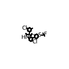 C=C(Nc1ccc(Cl)c(-c2ccc(SCC(C)(C)F)cc2)c1)C(c1cc(C)cc(Cl)c1)C(C)(C)Cl